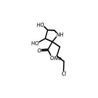 COC(=O)C1(CCCCl)NCC(O)C1O